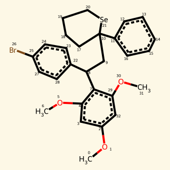 COc1cc(OC)c(C(CC2(c3ccccc3)CCCC[Se]2)c2ccc(Br)cc2)c(OC)c1